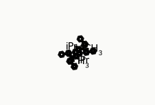 Cc1c(-c2ccccc2)cccc1N(c1cccc(C2CCCCC2)c1)c1cc(C(C)C)c2ccc3c(N(c4cccc(C5CCCCC5)c4)c4cccc(-c5ccccc5)c4C)cc(C(C)C)c4ccc1c2c43